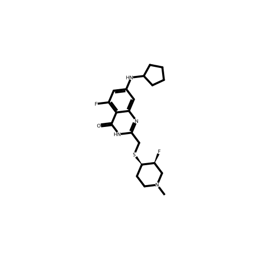 CN1CC[C@@H](SCc2nc3cc(NC4CCCC4)cc(F)c3c(=O)[nH]2)[C@@H](F)C1